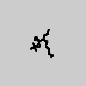 CCCC(SCCCF)C(=O)OC(C)(C)C